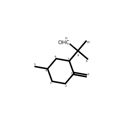 C=C1CCC(C)CC1C(C)(C)C=O